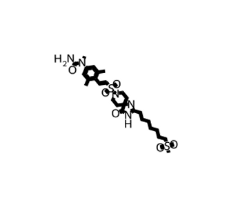 Cc1cc(N(C)C(N)=O)cc(C)c1/C=C/S(=O)(=O)N1CCC2(CC1)N=C(CCCCCCCS(C)(=O)=O)NC2=O